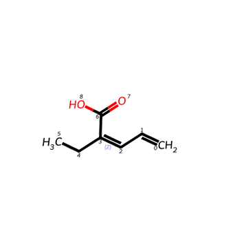 C=C/C=C(/CC)C(=O)O